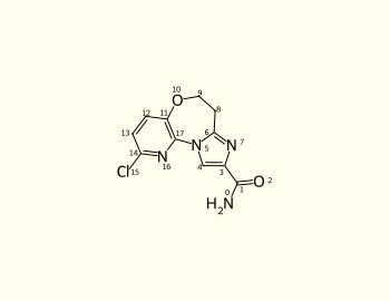 NC(=O)c1cn2c(n1)CCOc1ccc(Cl)nc1-2